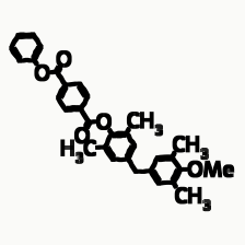 COc1c(C)cc(Cc2cc(C)c(OC(=O)c3ccc(C(=O)Oc4ccccc4)cc3)c(C)c2)cc1C